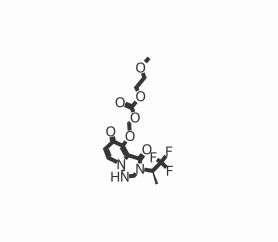 COCCOC(=O)OCOc1c2n(ccc1=O)NCN([C@H](C)C(F)(F)F)C2=O